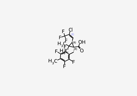 Cc1c(F)c(F)c(C[C@@]2(C(=O)O)[C@H](/C=C(/Cl)C(F)(F)F)C2(C)C)c(F)c1F